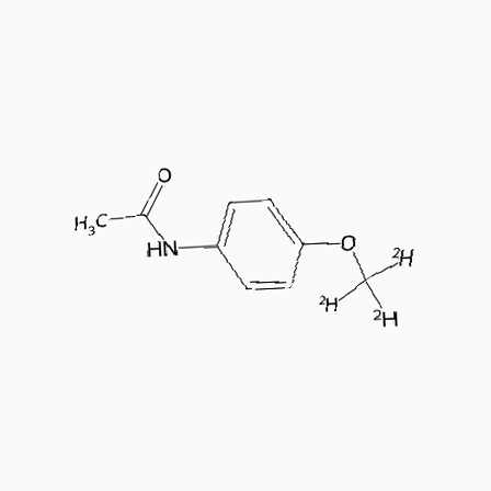 [2H]C([2H])([2H])Oc1ccc(NC(C)=O)cc1